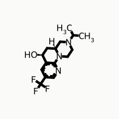 CC(C)N1CCN2c3ncc(C(F)(F)F)cc3[C@@H](O)C[C@H]2C1